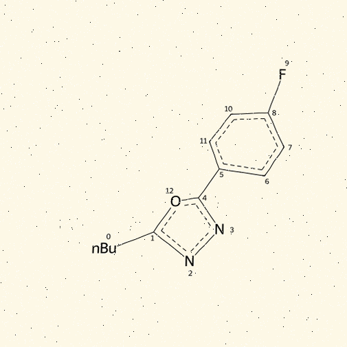 CCCCc1nnc(-c2ccc(F)cc2)o1